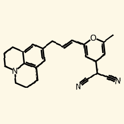 CC1=CC(C(C#N)C#N)C=C(/C=C/Cc2cc3c4c(c2)CCCN4CCC3)O1